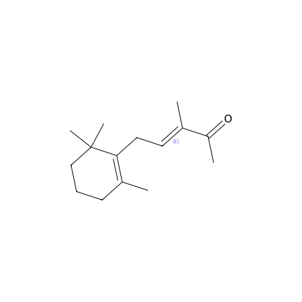 CC(=O)/C(C)=C/CC1=C(C)CCCC1(C)C